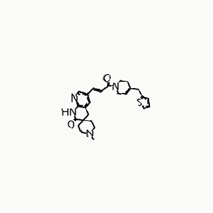 CN1CCC2(CC1)Cc1cc(C=CC(=O)N3CC=C(Cc4cccs4)CC3)cnc1NC2=O